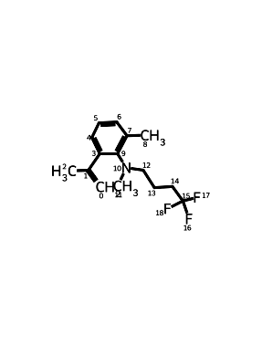 C=C(C)c1cccc(C)c1N(C)CCCC(F)(F)F